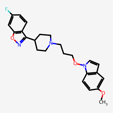 COc1ccc2c(ccn2OCCCN2CCC(c3noc4cc(F)ccc34)CC2)c1